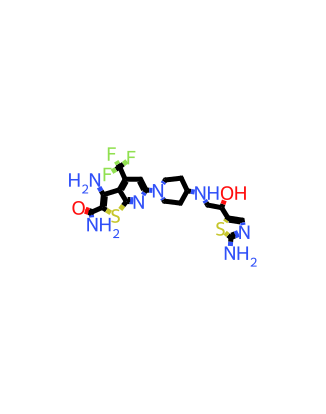 NC(=O)c1sc2nc(N3CCC(NCC(O)c4cnc(N)s4)CC3)cc(C(F)(F)F)c2c1N